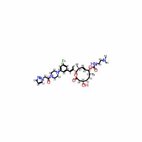 C/C(=C\c1cc(F)cc(N2CCN(C(=O)Cn3cccn3)CC2)c1)[C@H]1OC(=O)C[C@H](O)CC[C@H](C)[C@H](OC(=O)NCCN(C)C)/C=C/[C@@H]1C